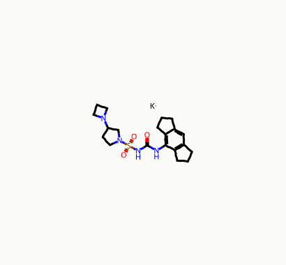 O=C(Nc1c2c(cc3c1CCC3)CCC2)NS(=O)(=O)N1CCC(N2CCC2)C1.[K]